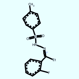 CC/C(=N/NS(=O)(=O)c1ccc(C)cc1)c1ccccc1F